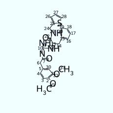 COc1ccc(CC(=O)N=C(N)NC(Cc2ccccc2)C(=O)NCc2cccs2)cc1OC